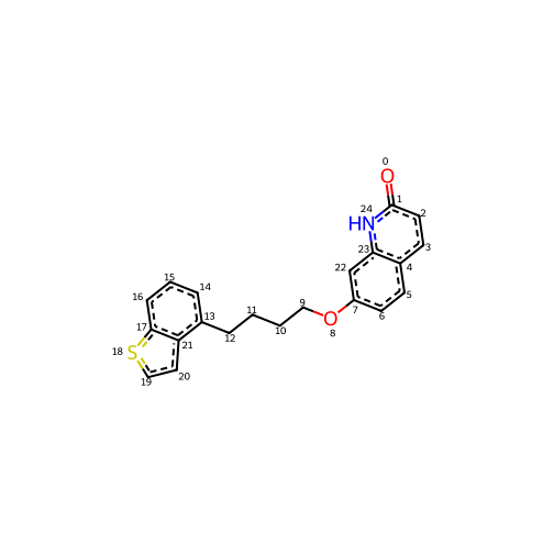 O=c1ccc2ccc(OCCCCc3cccc4sccc34)cc2[nH]1